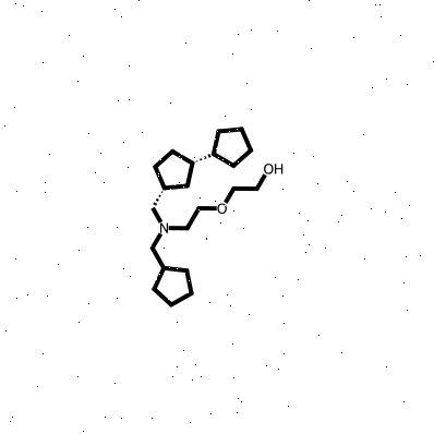 OCCOCCN(CC1CCCC1)C[C@@H]1CC[C@H](C2CCCC2)C1